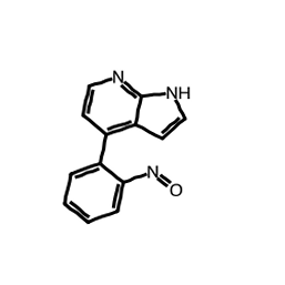 O=Nc1ccccc1-c1ccnc2[nH]ccc12